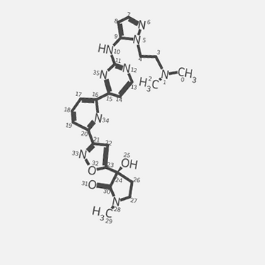 CN(C)CCn1nccc1Nc1nccc(-c2cccc(-c3cc([C@]4(O)CCN(C)C4=O)on3)n2)n1